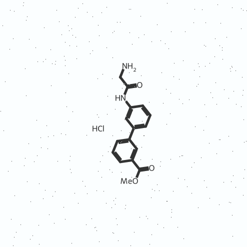 COC(=O)c1cccc(-c2cccc(NC(=O)CN)c2)c1.Cl